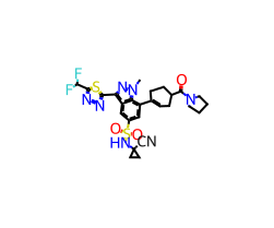 Cn1nc(-c2nnc(C(F)F)s2)c2cc(S(=O)(=O)NC3(C#N)CC3)cc(C3=CCC(C(=O)N4CCCC4)CC3)c21